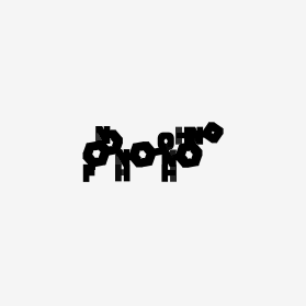 O=C(Nc1cccc(NC2CCC2)c1)c1ccc(Nc2ccnc3ccc(F)cc23)cc1